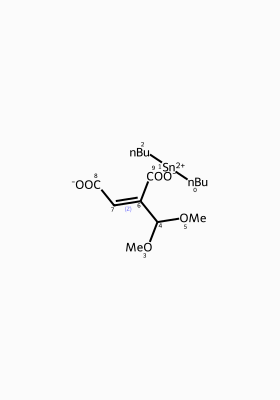 CCC[CH2][Sn+2][CH2]CCC.COC(OC)/C(=C/C(=O)[O-])C(=O)[O-]